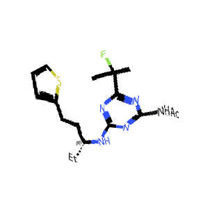 CC[C@H](CCc1cccs1)Nc1nc(NC(C)=O)nc(C(C)(C)F)n1